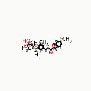 CSc1ccc2cc(C(=O)/C=C/c3cc(C)c(OCC(C)(C)C(=O)O)c(C)c3)oc2c1